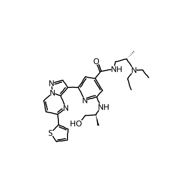 CCN(CC)[C@@H](C)CNC(=O)c1cc(N[C@@H](C)CO)nc(-c2cnn3ccc(-c4cccs4)nc23)c1